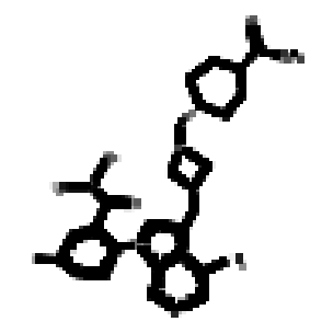 COC(=O)[C@H]1CC[C@H](CN2CC(Cc3cn(-c4ccc(F)cc4C(=O)N(C)C(C)C)c4cncc(C)c34)C2)CC1